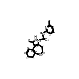 Cc1cccc(NC(=O)N2NC(C)C3=C2CCSC2=C3C=CCC2)n1